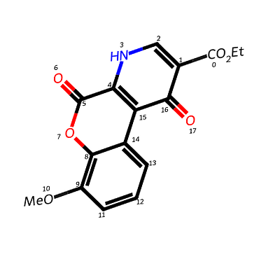 CCOC(=O)c1c[nH]c2c(=O)oc3c(OC)cccc3c2c1=O